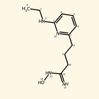 CCNc1cccc(CCCC(=N)NO)n1